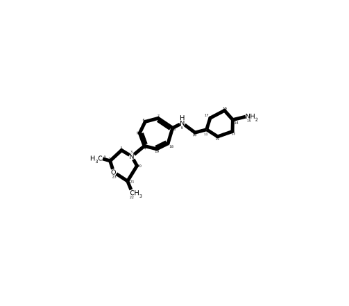 CC1CN(C2=CCC=C(NCC3CCC(N)CC3)C=C2)CC(C)O1